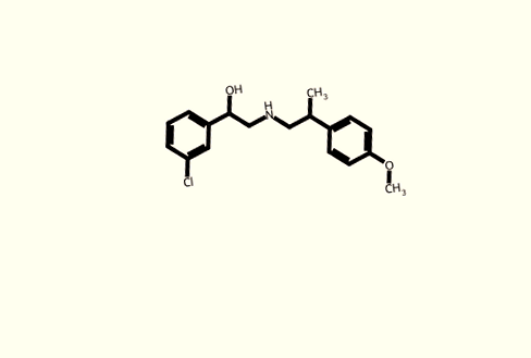 COc1ccc(C(C)CNCC(O)c2cccc(Cl)c2)cc1